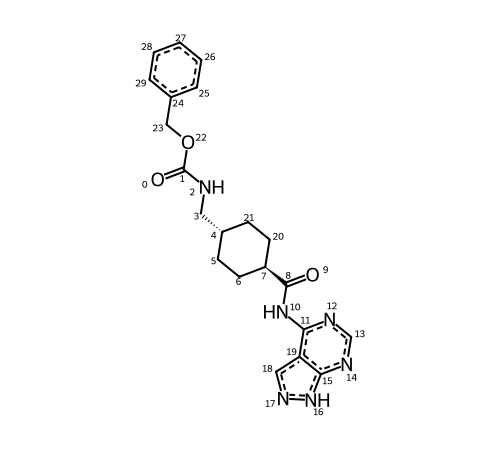 O=C(NC[C@H]1CC[C@H](C(=O)Nc2ncnc3[nH]ncc23)CC1)OCc1ccccc1